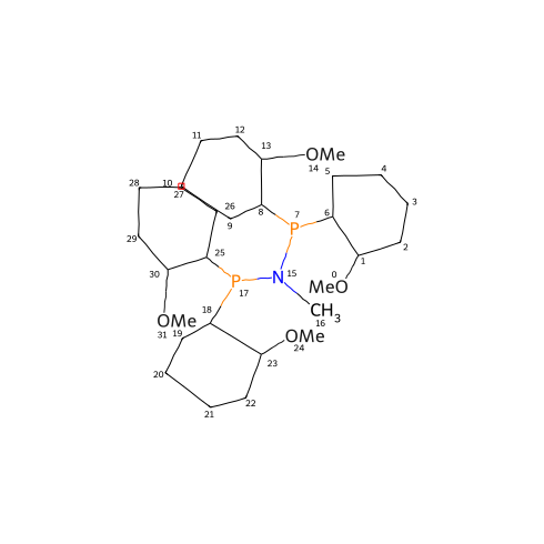 COC1CCCCC1P(C1CCCCC1OC)N(C)P(C1CCCCC1OC)C1CCCCC1OC